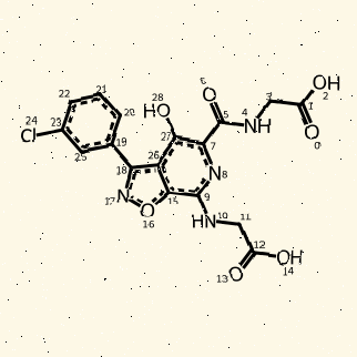 O=C(O)CNC(=O)c1nc(NCC(=O)O)c2onc(-c3cccc(Cl)c3)c2c1O